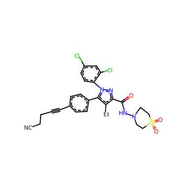 CCc1c(C(=O)NN2CCS(=O)(=O)CC2)nn(-c2ccc(Cl)cc2Cl)c1-c1ccc(C#CCCC#N)cc1